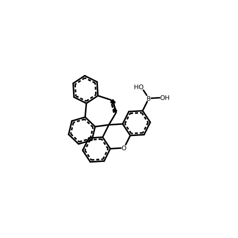 OB(O)c1ccc2c(c1)C1(c3ccccc3O2)c2ccccc2-c2ccccc2-c2ccccc21